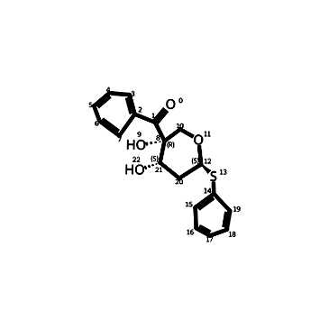 O=C(c1ccccc1)[C@@]1(O)CO[C@@H](Sc2ccccc2)C[C@@H]1O